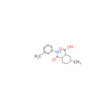 Cc1cccc(NC(=O)C2CCC(C)CC2C(=O)O)c1